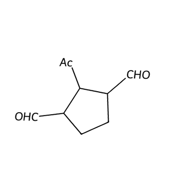 CC(=O)C1C(C=O)CCC1C=O